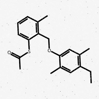 CCc1cc(C)c(OCc2c(C)cccc2SC(C)=O)cc1C